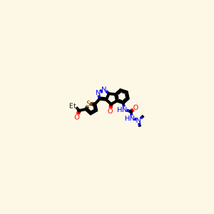 CCC(=O)c1ccc(C2=C3C(=O)c4c(NC(=O)NN(C)C)cccc4C3N=N2)s1